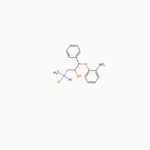 CC(=O)[N+](C)(Cl)CC(O)C(Oc1ccccc1[N+](=O)[O-])c1ccccc1